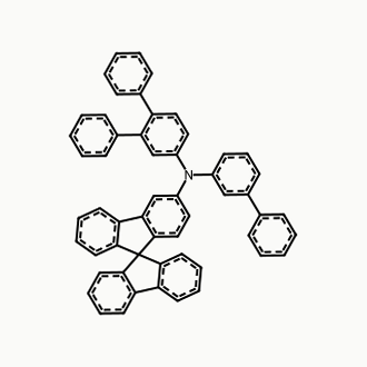 c1ccc(-c2cccc(N(c3ccc(-c4ccccc4)c(-c4ccccc4)c3)c3ccc4c(c3)-c3ccccc3C43c4ccccc4-c4ccccc43)c2)cc1